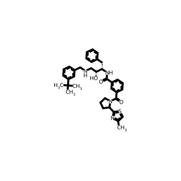 Cc1csc(C2CCCN2C(=O)c2cccc(C(=O)N[C@@H](Cc3ccccc3)[C@H](O)CNCc3cccc(C(C)(C)C)c3)c2)n1